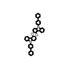 C1=CC2Oc3c(ccc4c3c3ccccc3n4-c3ccc(-c4ccccc4)cc3)OC2c2c1n(-c1ccc(-c3ccccc3)cc1)c1ccccc21